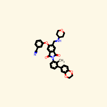 Cc1c(-c2ccc3c(c2)OCCO3)cccc1N1C(=O)c2cc(CNC3CCOCC3)c(Oc3cccc(C#N)c3)cc2C1=O